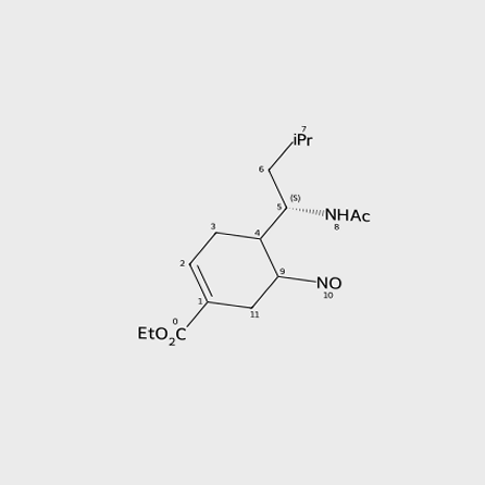 CCOC(=O)C1=CCC([C@H](CC(C)C)NC(C)=O)C(N=O)C1